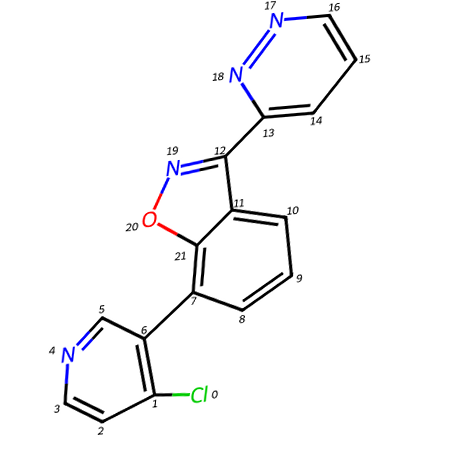 Clc1ccncc1-c1cccc2c(-c3cccnn3)noc12